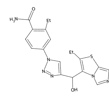 CCc1cc(-n2cc(C(O)c3c(CC)sc4cncn34)nn2)ccc1C(N)=O